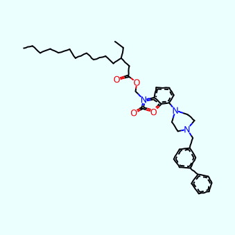 CCCCCCCCCCCC(CC)CC(=O)OCn1c(=O)oc2c(N3CCN(Cc4cccc(-c5ccccc5)c4)CC3)cccc21